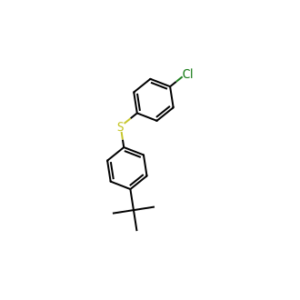 CC(C)(C)c1ccc(Sc2ccc(Cl)cc2)cc1